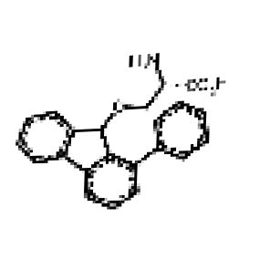 N[C@@H](COC1c2ccccc2-c2cccc(-c3ccccc3)c21)C(=O)O